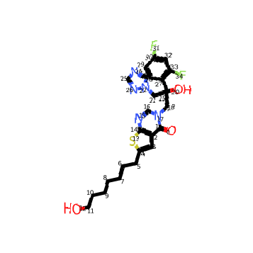 O=c1c2cc(CCCCCCCO)sc2ncn1CC(O)(Cn1cncn1)c1ccc(F)cc1F